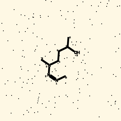 C/N=N\N(C)CCC(C)O